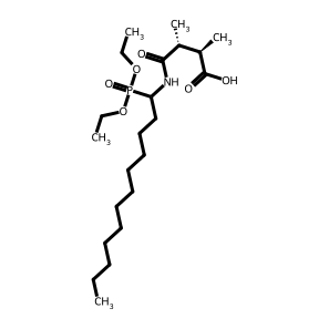 CCCCCCCCCCCC(NC(=O)[C@H](C)[C@@H](C)C(=O)O)P(=O)(OCC)OCC